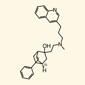 CN(CCCc1cnc2ccccc2c1)CCC1(O)C[C@@H]2CCC1C=C2c1ccccc1